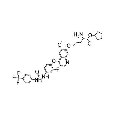 COc1cc2c(Oc3ccc(NC(=O)Nc4ccc(C(F)(F)F)cc4)cc3F)ccnc2cc1OCCCC(N)C(=O)OC1CCCC1